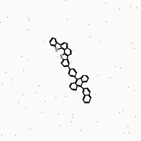 c1ccc2cc(-c3c4ccccc4c(-c4ccc(-c5ccc6sc7c(ccc8ccc9c%10ccccc%10sc9c87)c6c5)cc4)c4ccccc34)ccc2c1